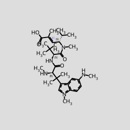 CNc1ccc2c(c1)c(C(C)(C)[C@@H](NC)C(=O)N[C@H](C(=O)N(C)[C@H](/C=C(\C)C(=O)O)C(C)C)C(C)(C)C)cn2C